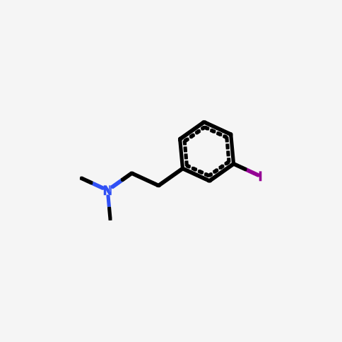 CN(C)CCc1cccc(I)c1